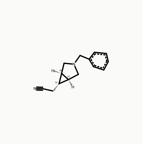 N#CC[C@@H]1[C@H]2CN(Cc3ccccc3)C[C@@H]12